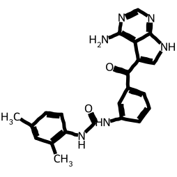 Cc1ccc(NC(=O)Nc2cccc(C(=O)c3c[nH]c4ncnc(N)c34)c2)c(C)c1